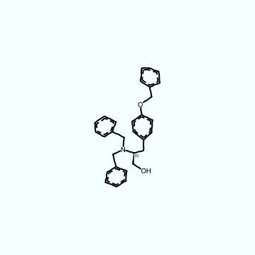 OC[C@H](Cc1ccc(OCc2ccccc2)cc1)N(Cc1ccccc1)Cc1ccccc1